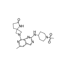 Cc1cc2cnc(NC3CCN(S(C)(=O)=O)CC3)nc2c(N2CC3(CCC(=O)N3)C2)n1